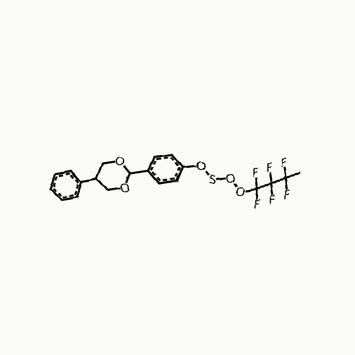 CC(F)(F)C(F)(F)C(F)(F)OOSOc1ccc(C2OCC(c3ccccc3)CO2)cc1